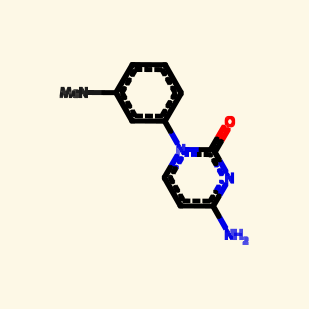 CNc1cccc(-n2ccc(N)nc2=O)c1